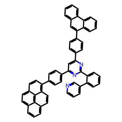 c1cncc(-c2ccccc2-c2nc(-c3ccc(-c4cc5ccccc5c5ccccc45)cc3)cc(-c3ccc(-c4ccc5ccc6cccc7ccc4c5c67)cc3)n2)c1